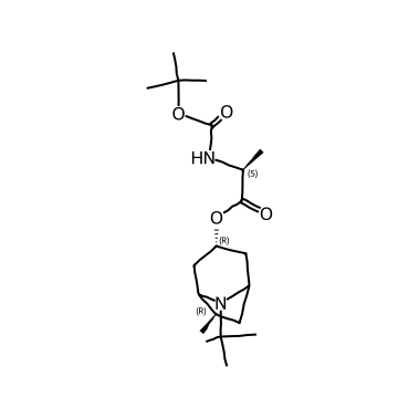 C[C@H](NC(=O)OC(C)(C)C)C(=O)O[C@@H]1CC2C[C@@H](C)C(C1)N2C(C)(C)C